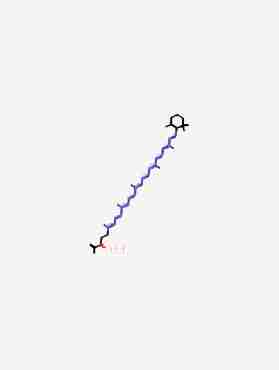 C=C(C)C(O)CC/C(C)=C/C=C/C(C)=C/C=C/C(C)=C/C=C/C=C(C)/C=C/C=C(C)/C=C/C1=C(C)CCCC1(C)C